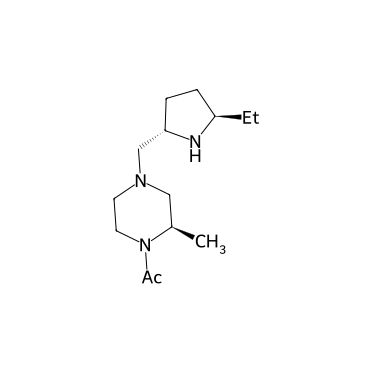 CC[C@@H]1CC[C@@H](CN2CCN(C(C)=O)[C@H](C)C2)N1